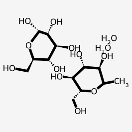 CC1O[C@H](CO)[C@@H](O)[C@H](O)[C@H]1O.O.O.OC[C@H]1O[C@H](O)[C@H](O)[C@@H](O)[C@@H]1O